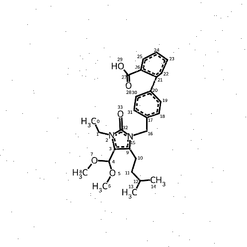 CCn1c(C(OC)OC)c(CCC(C)C)n(Cc2ccc(-c3ccccc3C(=O)O)cc2)c1=O